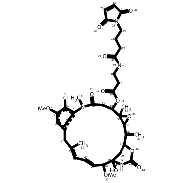 COc1cc2cc(c1Cl)N(C)C(=O)CC(OC(=O)CCNC(=O)CCCN1C(=O)C=CC1=O)C1(C)OC1C(C)C1CC(O)(NC(=O)O1)C(OC)/C=C/C=C(\C)C2